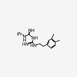 Cc1ccc(CCNC(=N)NC(=N)NC(C)C)cc1C